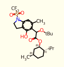 Cc1cc2c(c(O)c1C(OC(C)(C)C)C(=O)O[C@@H]1C[C@H](C)CC[C@H]1C(C)C)CCN2S(=O)(=O)C(F)(F)F